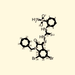 NS(=O)(=O)c1ccccc1NC(=S)NN=C1C(=O)N(Cc2ccccc2)c2c(Br)cc(Br)cc21